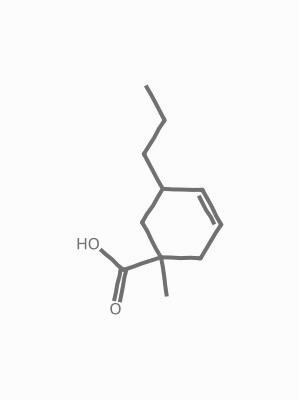 CCCC1C=CCC(C)(C(=O)O)C1